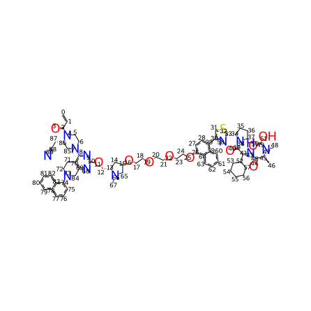 C=CC(=O)N1CCN(c2nc(OC[C@@H]3C[C@@H](OCCOCCOCCOc4ccc(-c5csc([C@@H]6CCCN6C(=O)[C@@H](NC(=O)[C@H](C)N(C)C(=O)O)C6CCCCC6)n5)c5ccccc45)CN3C)nc3c2CCN(c2cccc4ccccc24)C3)C[C@@H]1CC#N